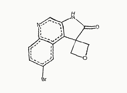 O=C1Nc2cnc3ccc(Br)cc3c2C12COC2